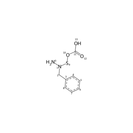 NN(Cc1ccccc1)SOC(=O)O